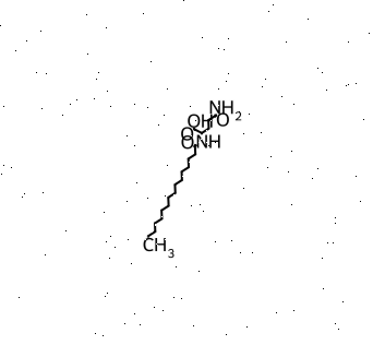 CCCCCCCCCCCCCCCC(=O)NC(CCC(N)=O)C(=O)O